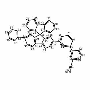 N#Cc1cc(-c2cccc(-c3ccc4c(c3)C3(c5ccccc5-c5ccccc53)c3cc(-c5ccccc5)ccc3-4)n2)ccn1